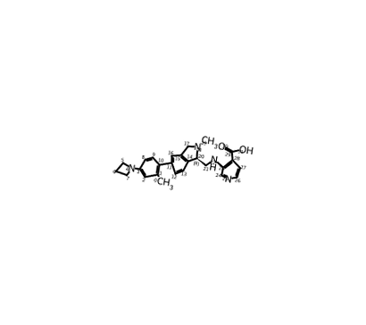 Cc1cc(N2CCC2)ccc1-c1ccc2c(c1)CN(C)[C@H]2CNc1cnccc1C(=O)O